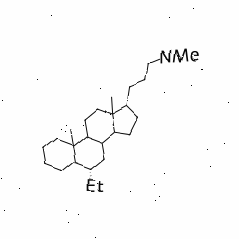 CC[C@H]1CC2C3CCC(CCCNC)C3(C)CCC2C2(C)CCCCC12